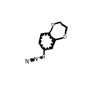 [N-]=[N+]=Nc1ccc2c(c1)OCCO2